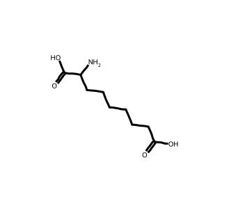 NC(CCCCCCC(=O)O)C(=O)O